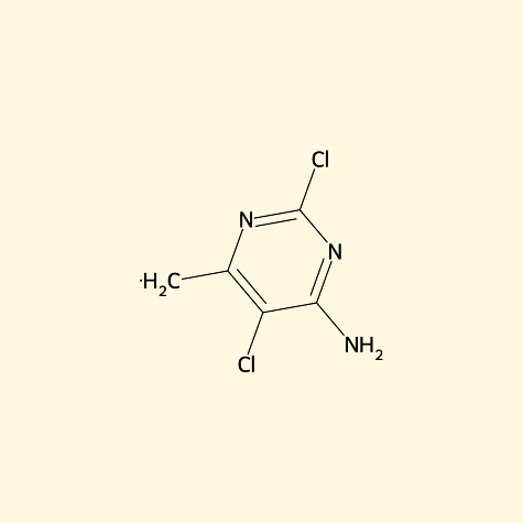 [CH2]c1nc(Cl)nc(N)c1Cl